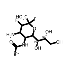 CC(C)C(=O)NC1C(N)C(F)C(F)(C(=O)O)OC1[C@H](O)[C@H](O)CO